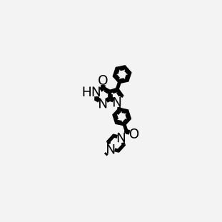 CN1CCN(C(=O)c2ccc(-n3cc(-c4ccccc4)c4c(=O)[nH]cnc43)cc2)CC1